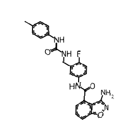 Cc1ccc(NC(=O)NCc2cc(NC(=O)c3cccc4onc(N)c34)ccc2F)cc1